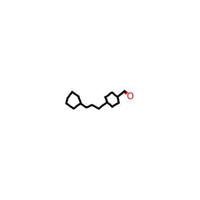 O=CC1CCC(CCCC2CCCCC2)CC1